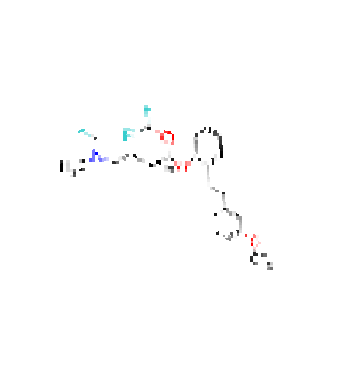 CN(CF)CCC[C@H](Oc1ccccc1CCc1cccc(OC(F)(F)F)c1)OC(F)F